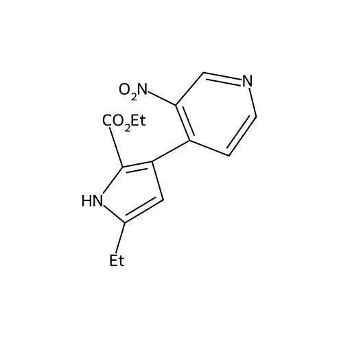 CCOC(=O)c1[nH]c(CC)cc1-c1ccncc1[N+](=O)[O-]